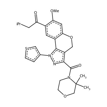 COc1cc2c(cc1C(=O)CC(C)C)-c1c(c(C(=O)N3CCOCC3(C)C)nn1-c1ccsc1)CO2